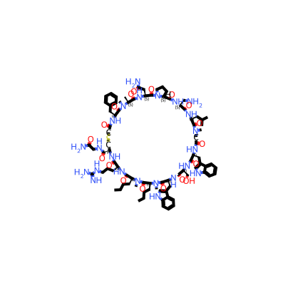 CCCC[C@H]1C(=O)N(C)[C@@H](CCCC)C(=O)N[C@@H](CCCNC(=N)N)C(=O)N[C@H](C(=O)NCC(N)=O)CSCC(=O)N[C@@H](Cc2ccccc2)C(=O)N(C)[C@@H](C)C(=O)N[C@@H](CC(N)=O)C(=O)N2CCC[C@H]2C(=O)N[C@@H](CN)C(=O)N[C@@H](CC(C)C)C(=O)N(C)CC(=O)N[C@@H](Cc2c[nH]c3ccccc23)C(=O)N[C@@H](CO)C(=O)N[C@@H](Cc2c[nH]c3ccccc23)C(=O)N1C